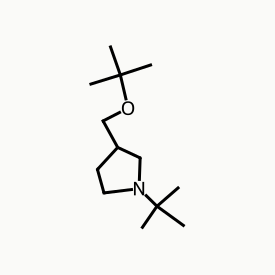 CC(C)(C)OCC1CCN(C(C)(C)C)C1